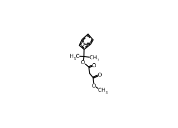 COC(=O)CC(=O)OC(C)(C)c1cc2ccc1o2